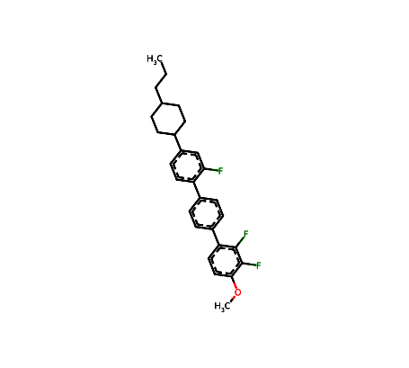 CCCC1CCC(c2ccc(-c3ccc(-c4ccc(OC)c(F)c4F)cc3)c(F)c2)CC1